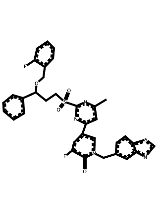 Cc1cc(-c2cc(F)c(=O)n(Cc3ccc4scnc4c3)c2)nc(S(=O)(=O)CCC(OCc2ccccc2F)c2ccccc2)n1